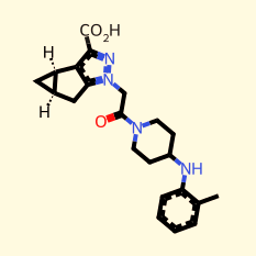 Cc1ccccc1NC1CCN(C(=O)Cn2nc(C(=O)O)c3c2C[C@H]2C[C@@H]32)CC1